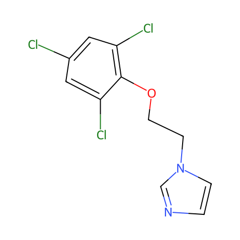 Clc1cc(Cl)c(OCCn2ccnc2)c(Cl)c1